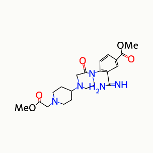 COC(=O)CN1CCC(N2CCN(c3ccc(C(=O)OC)cc3C(=N)N)C(=O)C2)CC1